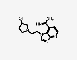 N=C(N)c1ccnc2ncn(CCN3CCC(O)C3)c12